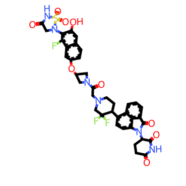 O=C1CCC(N2C(=O)c3cccc4c(C5CCN(CC(=O)N6CC(Oc7ccc8cc(O)c(N9CC(=O)NS9(=O)=O)c(F)c8c7)C6)CC5(F)F)ccc2c34)C(=O)N1